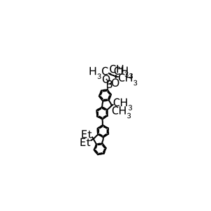 CCC1(CC)c2ccccc2-c2ccc(-c3ccc4c(c3)C(C)(C)c3cc(B5OC(C)(C)C(C)(C)O5)ccc3-4)cc21